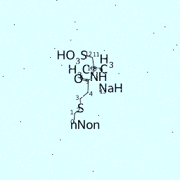 CCCCCCCCCCSCCC(=O)NC(C)(C)CS(=O)(=O)O.[NaH]